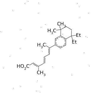 CCC1(CC)CCC(C)(C)c2cc(C(C)=CC=CC(C)=CC(=O)O)ccc21